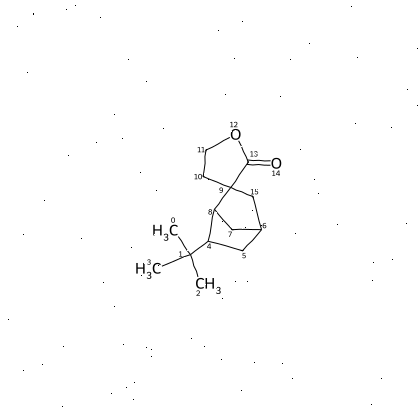 CC(C)(C)C1CC2CC1C1(CCOC1=O)C2